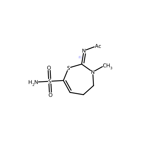 CC(=O)/N=C1/SC(S(N)(=O)=O)=CCCN1C